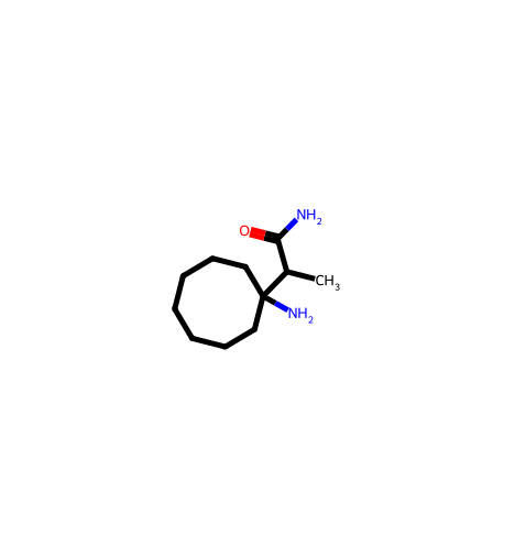 CC(C(N)=O)C1(N)CCCCCCC1